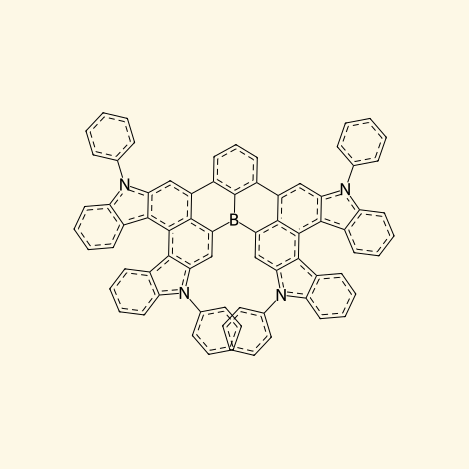 c1ccc(-n2c3ccccc3c3c4c5c(cc32)B2c3c(cccc3-c3cc6c(c7ccccc7n6-c6ccccc6)c6c3c2cc2c6c3ccccc3n2-c2ccccc2)-c5cc2c4c3ccccc3n2-c2ccccc2)cc1